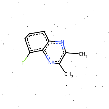 Cc1nc2cccc(F)c2nc1C